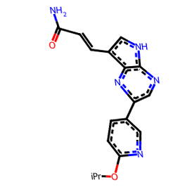 CC(C)Oc1ccc(-c2cnc3[nH]cc(C=CC(N)=O)c3n2)cn1